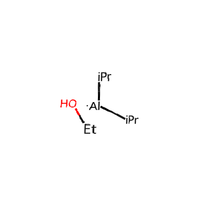 CCO.C[CH](C)[Al][CH](C)C